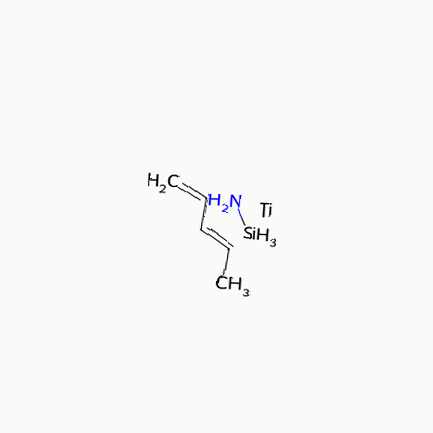 C=CC=CC.N[SiH3].[Ti]